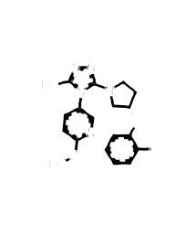 COc1ccc(-n2c(C)nnc2N2CC[C@H](Oc3ccccc3Cl)C2)cn1